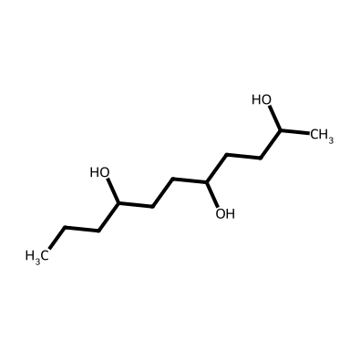 CCCC(O)CCC(O)CCC(C)O